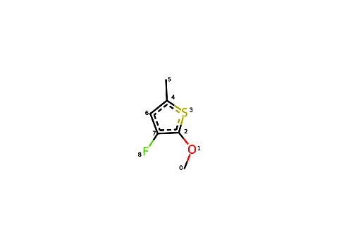 COc1sc(C)cc1F